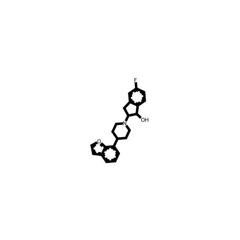 OC1c2ccc(F)cc2CC1N1CCC(c2cccc3ccoc23)CC1